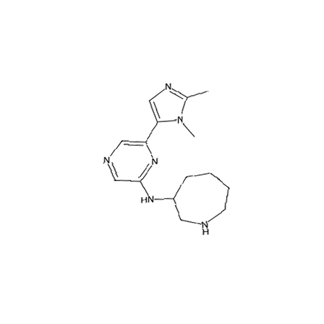 Cc1ncc(-c2cncc(NC3CCCCNC3)n2)n1C